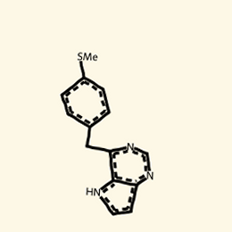 CSc1ccc(Cc2ncnc3cc[nH]c23)cc1